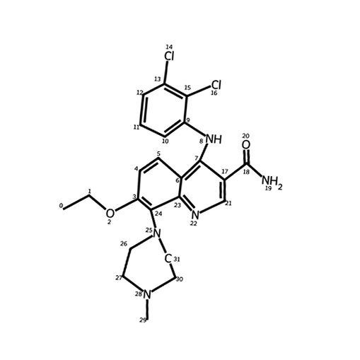 CCOc1ccc2c(Nc3cccc(Cl)c3Cl)c(C(N)=O)cnc2c1N1CCN(C)CC1